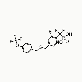 O=P(O)(O)C(F)(F)c1ccc(CSCc2ccc(OC(F)(F)F)cc2)cc1Br